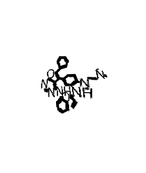 C=CC(=O)Nc1cc(-c2c(-c3ccccc3)oc3ncnc(Nc4ccccc4)c23)ccc1N(C)CCN(C)C